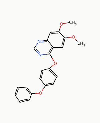 COc1cc2ncnc(Oc3ccc(Oc4ccccc4)cc3)c2cc1OC